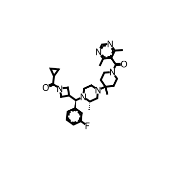 Cc1ncnc(C)c1C(=O)N1CCC(C)(N2CCN([C@@H](c3cccc(F)c3)C3CN(C(=O)C4CC4)C3)[C@@H](C)C2)CC1